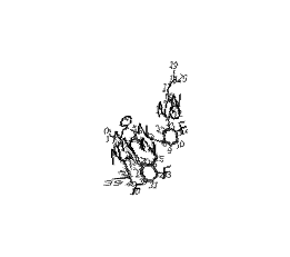 CCN1C(=O)c2nc(-c3ccc(F)c(-c4nc(CC(C)C)no4)c3)n(Cc3ccc(F)cc3F)c2N2C[C@@H](C(C)C)N=C12